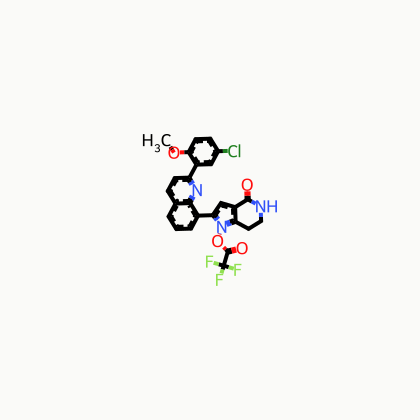 COc1ccc(Cl)cc1-c1ccc2cccc(-c3cc4c(n3OC(=O)C(F)(F)F)CCNC4=O)c2n1